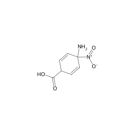 NC1([N+](=O)[O-])C=CC(C(=O)O)C=C1